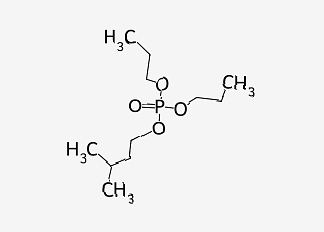 CCCOP(=O)(OCCC)OCCC(C)C